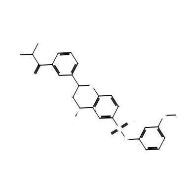 COc1cccc(NS(=O)(=O)c2ccc3c(c2)[C@@H](O)CC(c2cccc(C(=O)C(C)C)c2)N3)c1